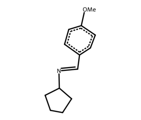 COc1ccc(/C=N/C2CCCC2)cc1